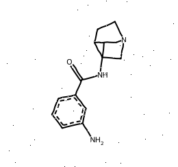 Nc1cccc(C(=O)NC2CN3CCC2CC3)c1